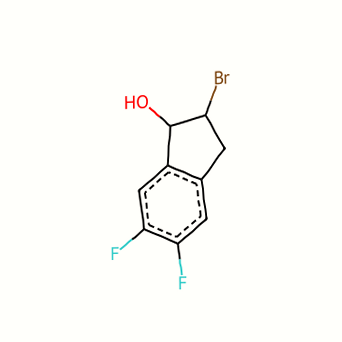 OC1c2cc(F)c(F)cc2CC1Br